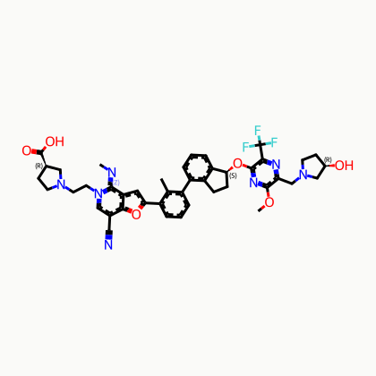 C/N=c1/c2cc(-c3cccc(-c4cccc5c4CC[C@@H]5Oc4nc(OC)c(CN5CC[C@@H](O)C5)nc4C(F)(F)F)c3C)oc2c(C#N)cn1CCN1CC[C@@H](C(=O)O)C1